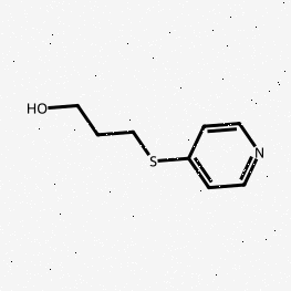 OCCCSc1ccncc1